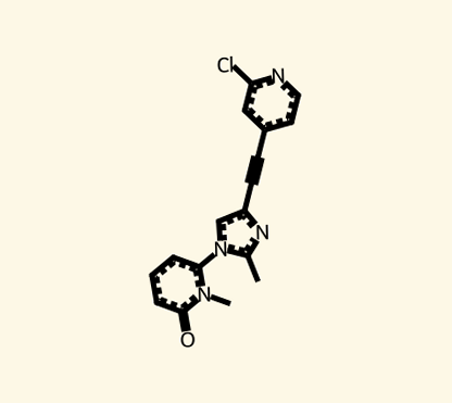 Cc1nc(C#Cc2ccnc(Cl)c2)cn1-c1cccc(=O)n1C